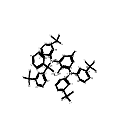 Cc1cc(N(c2cccc(C(C)(C)C)c2)c2cccc(C(C)(C)C)c2)c(Cl)c(N(c2cccc(C(C)(C)C)c2)C(C)(c2ccccc2)c2cccc(C(C)(C)C)c2)c1